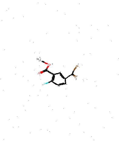 COC(=O)c1cc(C(Br)Br)ccc1F